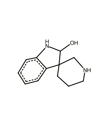 OC1Nc2ccccc2C12CCCNC2